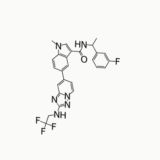 CC(NC(=O)c1cn(C)c2ccc(-c3ccn4nc(NCC(F)(F)F)nc4c3)cc12)c1cccc(F)c1